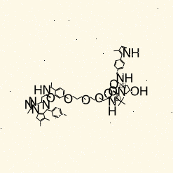 CC1=C(C)C2=C(C1)n1c(C)nnc1C(CC(=O)NC(C)c1ccc(OCCCOCCOCC(=O)N[C@H](C(=O)N3CC(O)C[C@H]3C(=O)NCc3ccc(-c4[nH]ccc4C)cc3)C(C)(C)C)cc1)N=C2c1ccc(C)cc1